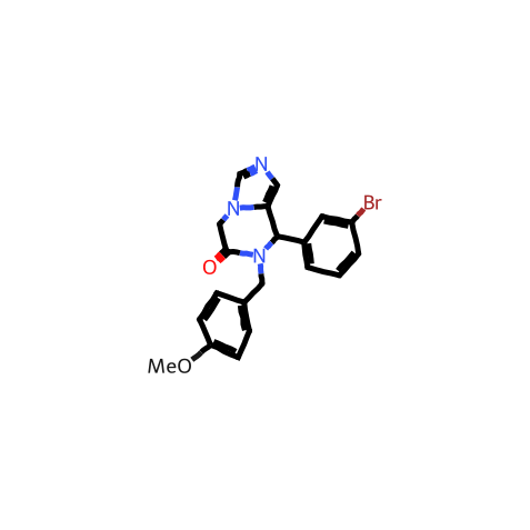 COc1ccc(CN2C(=O)Cn3cncc3C2c2cccc(Br)c2)cc1